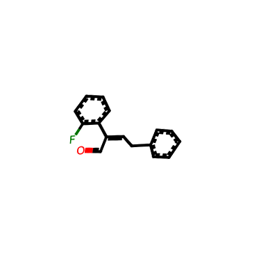 O=CC(=CCc1ccccc1)c1ccccc1F